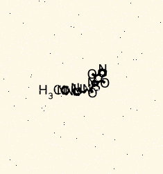 CN1CCN(c2ccc(CNC(=O)c3nc4c(s3)C(=O)c3ccncc3C4=O)cn2)CC1